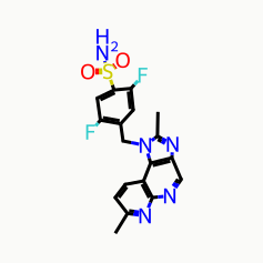 Cc1ccc2c(ncc3nc(C)n(Cc4cc(F)c(S(N)(=O)=O)cc4F)c32)n1